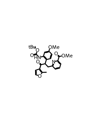 COC(=O)c1cccc(CC(C(=O)c2ccoc2C)c2ccc(OC)cc2NC(=O)OC(C)(C)C)n1